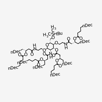 CCCCCCCCCCCCCC(=O)O[C@H](CCCCCCCCCCC)CC(=O)NCCO[C@H]1O[C@H](CO[Si](C)(C)C(C)(C)C)[C@@H](OCCNC(=O)C[C@@H](CCCCCCCCCCC)OC(=O)CCCCCCCCCCCCC)[C@H](OC(=O)C[C@@H](CCCCCCCCCCC)OC(=O)CCCCCCCCCCCCC)[C@@H]1NC(=O)C[C@@H](CCCCCCCCCCC)OC(=O)CCCCCCCCCCCCC